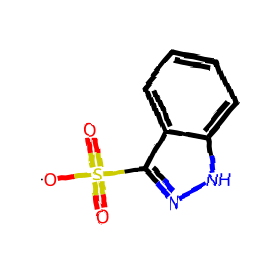 [O]S(=O)(=O)c1n[nH]c2ccccc12